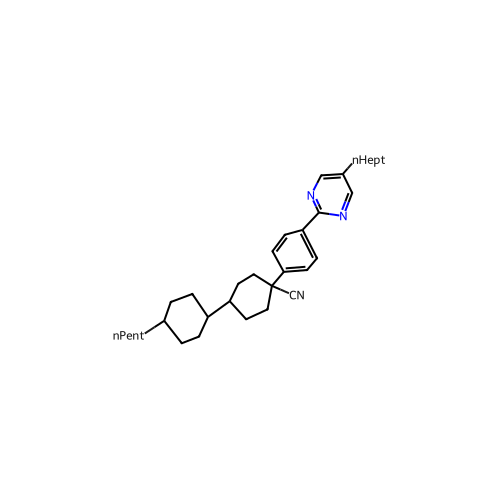 CCCCCCCc1cnc(-c2ccc(C3(C#N)CCC(C4CCC(CCCCC)CC4)CC3)cc2)nc1